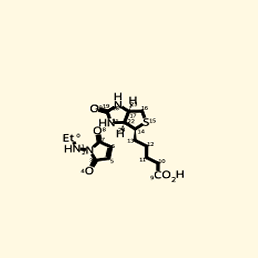 CCNN1C(=O)C=CC1=O.O=C(O)CCCC[C@@H]1SC[C@@H]2NC(=O)N[C@@H]21